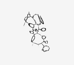 COc1ccnc(C(=O)N[C@H]2COC(=O)[C@@H](c3ccccc3)[CH][C@H](C)OC2=O)c1OC(C)=O